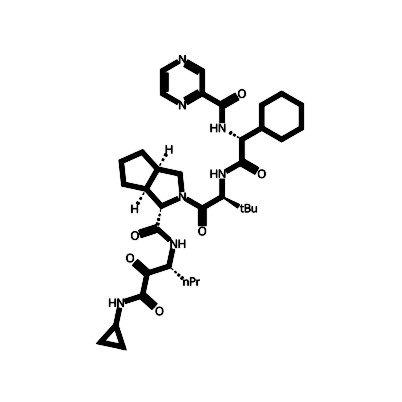 CCC[C@@H](NC(=O)[C@@H]1[C@H]2CCC[C@H]2CN1C(=O)[C@@H](NC(=O)[C@H](NC(=O)c1cnccn1)C1CCCCC1)C(C)(C)C)C(=O)C(=O)NC1CC1